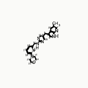 Cc1cnc2[nH]cc(Cc3cnc(NCc4cccc(N5CCOCC5)n4)nc3)c2c1